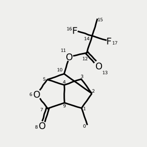 CC1C2CC3C(OC(=O)C13)C2OC(=O)C(C)(F)F